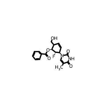 Cc1cn([C@@H]2C=CC(CO)[C@@H](OC(=O)c3ccccc3)[C@H]2F)c(=O)[nH]c1=O